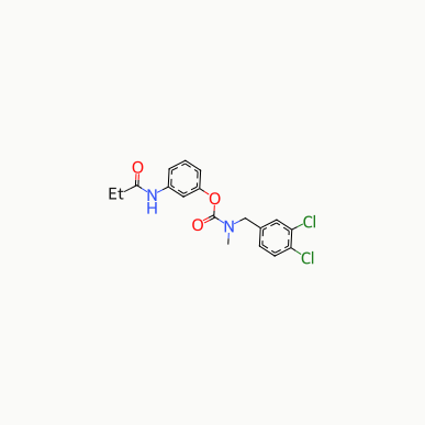 CCC(=O)Nc1cccc(OC(=O)N(C)Cc2ccc(Cl)c(Cl)c2)c1